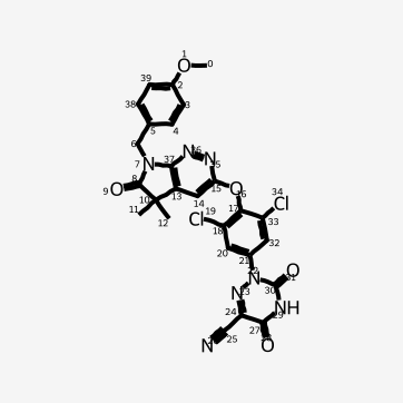 COc1ccc(CN2C(=O)C(C)(C)c3cc(Oc4c(Cl)cc(-n5nc(C#N)c(=O)[nH]c5=O)cc4Cl)nnc32)cc1